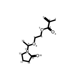 C=C(C)C(=O)OCCOC(C)N1CCCC1=O